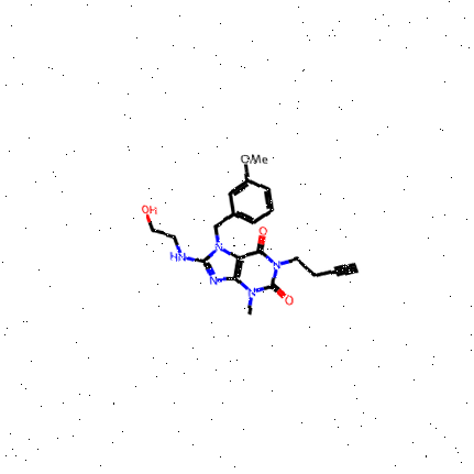 C#CCCn1c(=O)c2c(nc(NCCO)n2Cc2cccc(OC)c2)n(C)c1=O